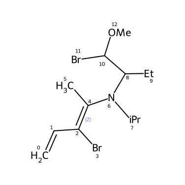 C=C/C(Br)=C(\C)N(C(C)C)C(CC)C(Br)OC